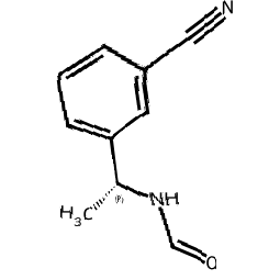 C[C@@H](NC=O)c1cccc(C#N)c1